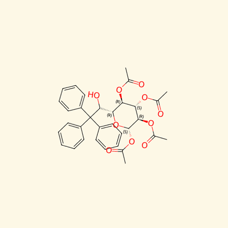 CC(=O)O[C@@H]1O[C@H](C(O)C(c2ccccc2)(c2ccccc2)c2ccccc2)[C@@H](OC(C)=O)[C@H](OC(C)=O)[C@H]1OC(C)=O